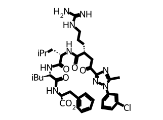 CC[C@H](C)[C@H](NC(=O)[C@H](CC(C)C)NC(=O)[C@H](CCCNC(=N)N)CC(=O)c1nc(C)n(-c2cccc(Cl)c2)n1)C(=O)N[C@@H](Cc1ccccc1)C(=O)O